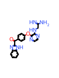 N=C(N)CNc1nccnc1Oc1ccc(C(=O)c2nc3ccccc3[nH]2)cc1